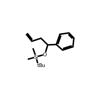 C=CCC(O[Si](C)(C)C(C)(C)C)c1ccccc1